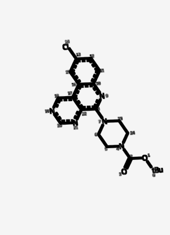 CC(C)(C)OC(=O)N1CCN(c2nc3ccc(Cl)cc3c3cncnc23)CC1